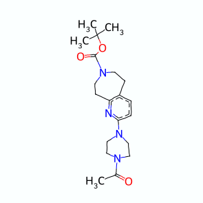 CC(=O)N1CCN(c2ccc3c(n2)CCN(C(=O)OC(C)(C)C)CC3)CC1